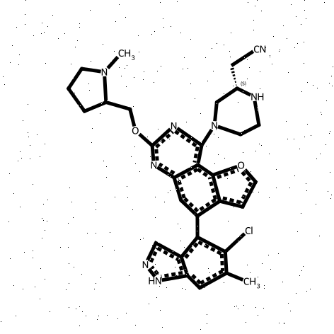 Cc1cc2[nH]ncc2c(-c2cc3nc(OCC4CCCN4C)nc(N4CCN[C@@H](CC#N)C4)c3c3occc23)c1Cl